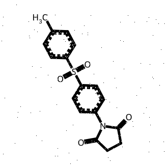 Cc1ccc(S(=O)(=O)c2ccc(N3C(=O)CCC3=O)cc2)cc1